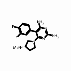 CN[C@H]1CCN(c2nc(N)nc(N)c2-c2ccc(F)c(F)c2)C1